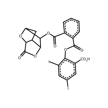 O=C(Oc1c(I)cc(I)cc1C(=O)O)c1ccccc1C(=O)OC1C2CC3C(O2)C(=O)OC31